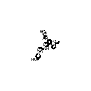 C=CC(=O)N1CCC[C@H]1c1ccc(N2C[C@H](CS(C)(=O)=O)[C@H]2C)c2cnc(Nc3ccnc(N4CCC(C)(O)CC4)n3)cc12